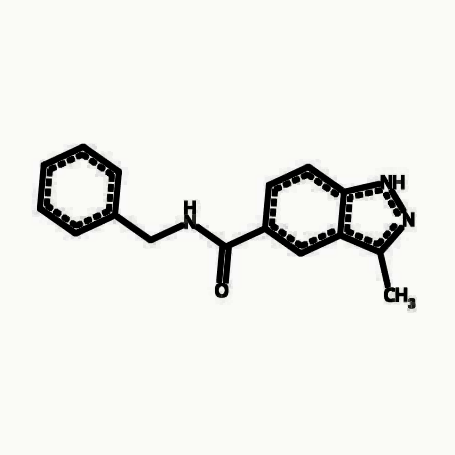 Cc1n[nH]c2ccc(C(=O)NCc3ccccc3)cc12